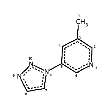 Cc1cn[c]c(-n2ccnn2)c1